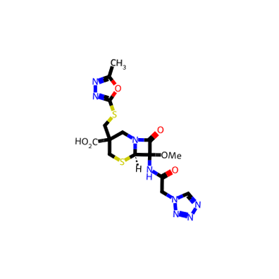 COC1(NC(=O)Cn2cnnn2)C(=O)N2CC(CSc3nnc(C)o3)(C(=O)O)CS[C@@H]21